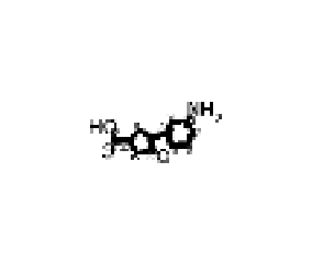 Nc1ccc2oc3c(c2c1)CC(C(=O)O)C3